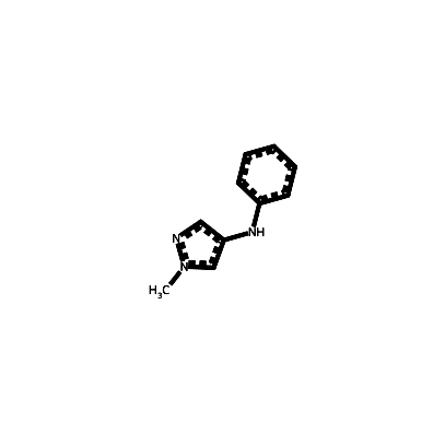 Cn1cc(Nc2ccccc2)cn1